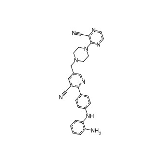 N#Cc1cc(CN2CCN(c3nccnc3C#N)CC2)cnc1-c1ccc(Nc2ccccc2N)cc1